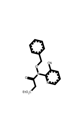 CCOC(=O)CC(=O)N(OCc1ccccc1)c1ncccc1C#N